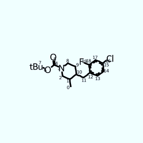 CC1CN(C(=O)OC(C)(C)C)CCC1Cc1ccc(Cl)cc1F